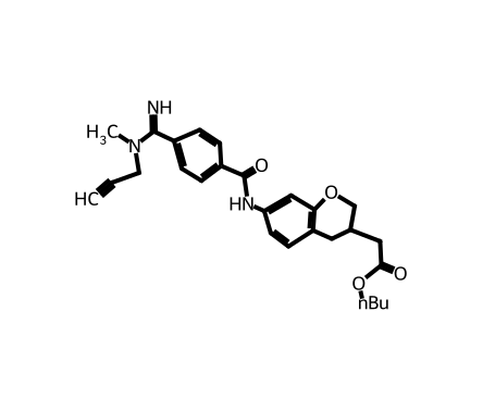 C#CCN(C)C(=N)c1ccc(C(=O)Nc2ccc3c(c2)OCC(CC(=O)OCCCC)C3)cc1